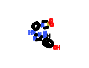 O=S1(=O)CCN(c2cccc(Nc3nccc(N[C@H]4C5CC6CC4C[C@](O)(C6)C5)n3)c2)CC1